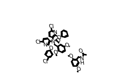 COc1ccc(OC)c(CNC(C)=O)c1.COc1ccc(OC)c(C[N+](C(C)=O)(c2ccc(Cl)nc2Oc2ccccc2)c2ccc(Cl)nc2Oc2ccc(Cl)cc2)c1